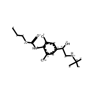 CCCOC(=O)Nc1c(Cl)cc(C(O)CNC(C)(C)C)cc1Cl